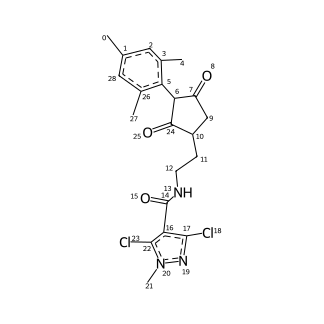 Cc1cc(C)c(C2C(=O)CC(CCNC(=O)c3c(Cl)nn(C)c3Cl)C2=O)c(C)c1